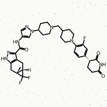 C[C@@]12Cc3[nH]nc(C(=O)Nc4cnn(C5CCN(CC6CCN(c7ccc([C@H]8CCC(=O)NC8=O)cc7F)CC6)CC5)c4)c3C[C@@H]1C2(F)F